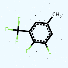 [CH2]c1cc(F)c(F)c(C(F)(F)F)c1